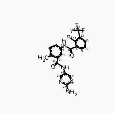 Cc1ccc(NC(=O)c2cccc(C(F)(F)F)c2F)cc1C(=O)Nc1cnc(N)nc1